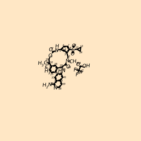 CN1Cc2cc(ccc2S(=O)(=O)C2CC2)NC(=O)OCC(C)(C)c2cccc(c2)[C@@H](Nc2ccc3c(N)nccc3c2)C1=O.O=C(O)C(F)(F)F